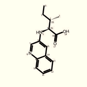 CC[C@H](C)[C@H](Nc1cnc2ccccc2c1)C(=O)O